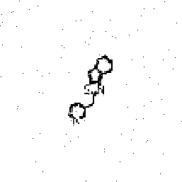 C1=CCC2=c3nc(Cc4cccnc4)sc3=CC2=C1